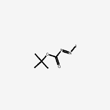 CC(C)(C)OC(=O)/P=N/I